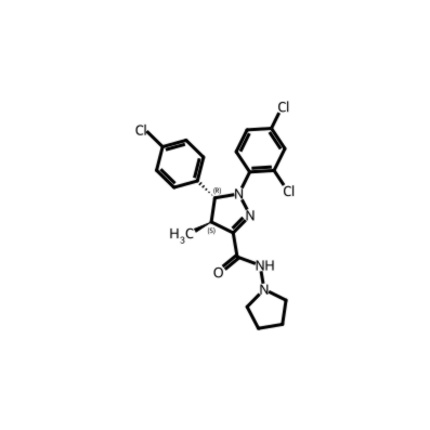 C[C@@H]1C(C(=O)NN2CCCC2)=NN(c2ccc(Cl)cc2Cl)[C@H]1c1ccc(Cl)cc1